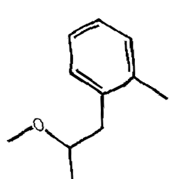 COC(C)Cc1ccccc1C